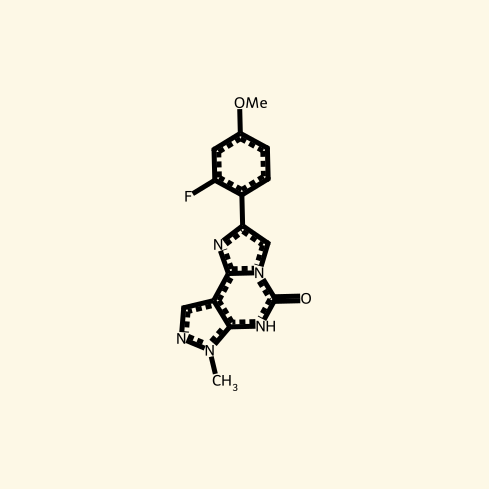 COc1ccc(-c2cn3c(=O)[nH]c4c(cnn4C)c3n2)c(F)c1